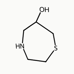 OC1CNCCSC1